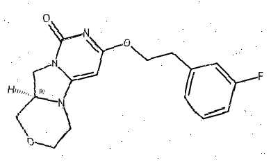 O=c1nc(OCCc2cccc(F)c2)cc2n1C[C@@H]1COCCN21